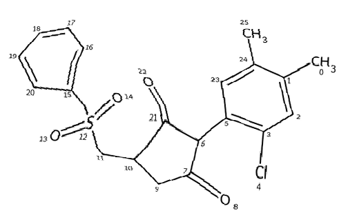 Cc1cc(Cl)c(C2C(=O)CC(CS(=O)(=O)c3ccccc3)C2=O)cc1C